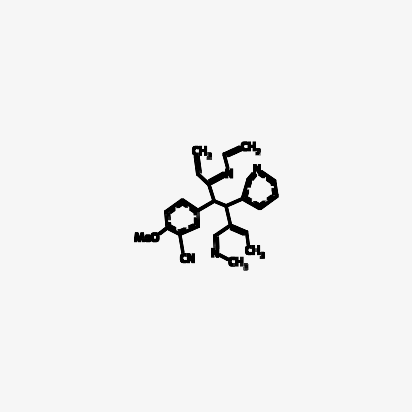 C=C/N=C(\C=C)C(c1ccc(OC)c(C#N)c1)C(C(/C=N\C)=C/C)c1cccnc1